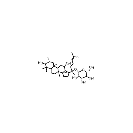 CC(C)=CCC[C@](C)(O[C@@H]1O[C@H](CO)[C@@H](O)[C@H](O)[C@H]1O)C1CC[C@]2(C)C1[C@H](O)CC1[C@@]3(C)C[C@@H](C)[C@H](O)C(C)(C)C3CC[C@]12C